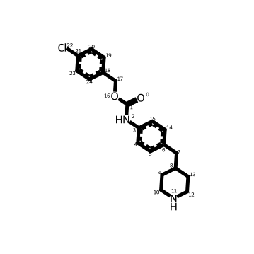 O=C(Nc1ccc(CC2CCNCC2)cc1)OCc1ccc(Cl)cc1